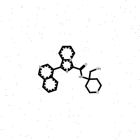 O=C(NC1(CO)CCOCC1)c1nc(-c2cncc3ccccc23)c2ccccn12